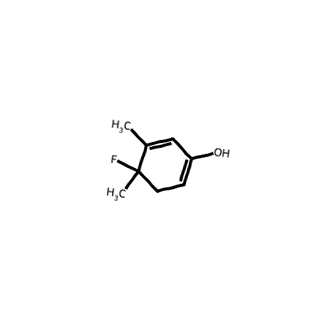 CC1=CC(O)=CCC1(C)F